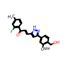 COc1cc(-c2cc(/C=C/C(=O)c3ccc(C)cc3F)[nH]n2)ccc1CO